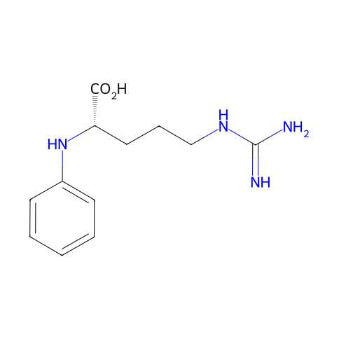 N=C(N)NCCC[C@H](Nc1ccccc1)C(=O)O